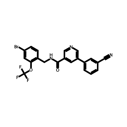 N#Cc1cccc(-c2cncc(C(=O)NCc3ccc(Br)cc3OC(F)(F)F)c2)c1